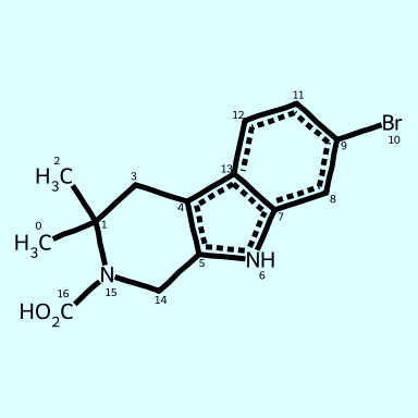 CC1(C)Cc2c([nH]c3cc(Br)ccc23)CN1C(=O)O